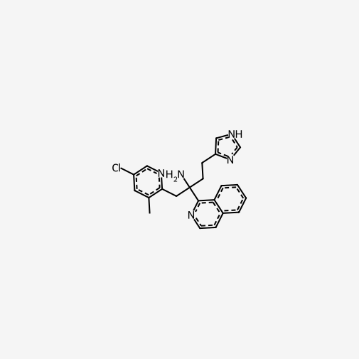 Cc1cc(Cl)cnc1CC(N)(CCc1c[nH]cn1)c1nccc2ccccc12